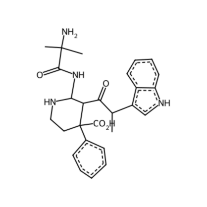 CC(C(=O)C1C(NC(=O)C(C)(C)N)NCCC1(C(=O)O)c1ccccc1)c1c[nH]c2ccccc12